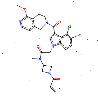 C=CC(=O)N1CC(N(C)C(=O)Cn2cc(C(=O)N3CCc4c(ccnc4OC)C3)c3c(Cl)c(Cl)ccc32)C1